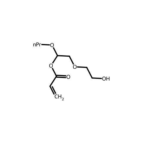 C=CC(=O)OC(COCCO)OCCC